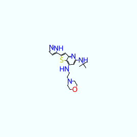 CC(C)(C)Nc1cc(NCCN2CCOCC2)c2sc(-c3ccn[nH]3)cc2n1